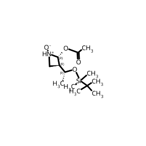 CC(=O)O[C@@H]1[C@@H]([C@@H](C)O[Si](C)(C)C(C)(C)C)C[NH+]1[O-]